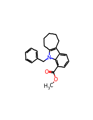 COC(=O)c1cccc2c3c(n(Cc4ccccc4)c12)CCCCC3